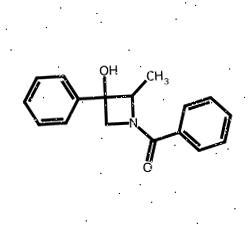 CC1N(C(=O)c2ccccc2)CC1(O)c1ccccc1